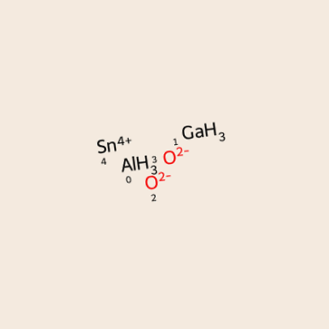 [AlH3].[GaH3].[O-2].[O-2].[Sn+4]